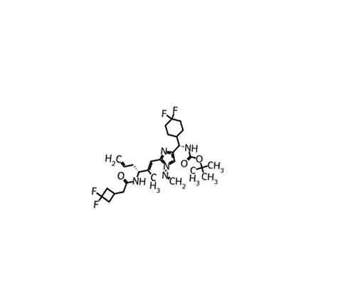 C=CC[C@@H](NC(=O)CC1CC(F)(F)C1)/C(C)=C/c1nc([C@@H](NC(=O)OC(C)(C)C)C2CCC(F)(F)CC2)cn1N=C